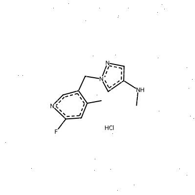 CNc1cnn(Cc2cnc(F)cc2C)c1.Cl